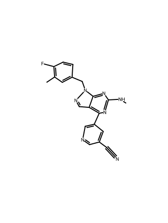 CNc1nc(-c2cncc(C#N)c2)c2cnn(Cc3ccc(F)c(C)c3)c2n1